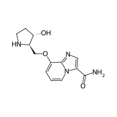 NC(=O)c1cnc2c(OC[C@H]3NCC[C@@H]3O)cccn12